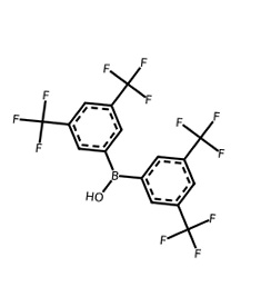 OB(c1cc(C(F)(F)F)cc(C(F)(F)F)c1)c1cc(C(F)(F)F)cc(C(F)(F)F)c1